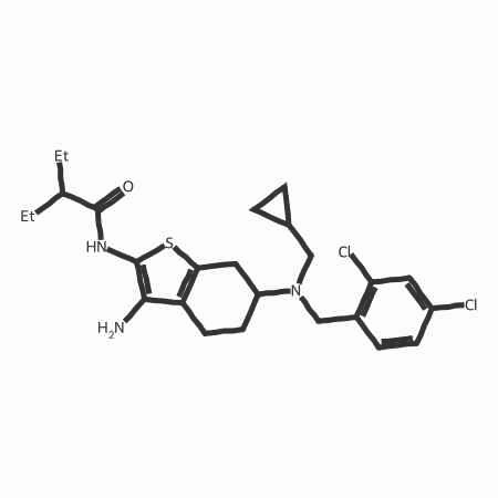 CCC(CC)C(=O)Nc1sc2c(c1N)CCC(N(Cc1ccc(Cl)cc1Cl)CC1CC1)C2